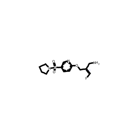 NC/C(=C/F)COc1ccc(S(=O)(=O)N2CCCC2)cn1